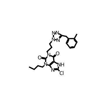 CCCCn1c(=O)n(CCCn2nnc(Cc3ccccc3C)n2)c(=O)c2[nH]c(Cl)nc21